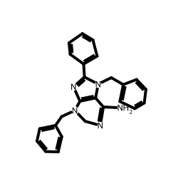 NC1=NCN(Cc2ccccc2)c2nc(-c3ccccc3)n(Cc3ccccc3)c21